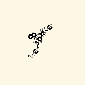 CN1CCN(CCCNc2c(F)cc3c(=O)c(C(=O)NCCN4CCOCC4)cn4c3c2Oc2c-4ccc3ccccc23)CC1